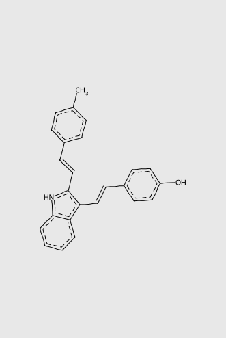 Cc1ccc(/C=C/c2[nH]c3ccccc3c2/C=C/c2ccc(O)cc2)cc1